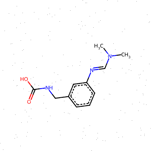 CN(C)C=Nc1cccc(CNC(=O)O)c1